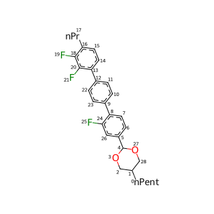 CCCCCC1COC(c2ccc(-c3ccc(-c4ccc(CCC)c(F)c4F)cc3)c(F)c2)OC1